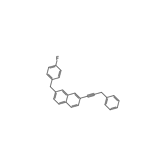 Fc1ccc(Cc2ccc3ccc(C#CCc4ccccc4)cc3c2)cc1